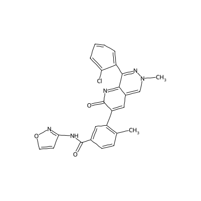 Cc1ccc(C(=O)Nc2ccon2)cc1-c1cc2cn(C)nc(-c3ccccc3Cl)c-2nc1=O